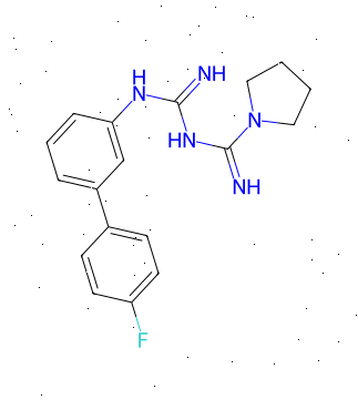 N=C(NC(=N)N1CCCC1)Nc1cccc(-c2ccc(F)cc2)c1